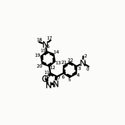 CN(C)c1ccc(-c2nnoc2-c2ccc(N(C)C)cc2)cc1